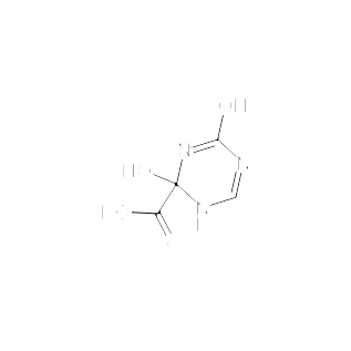 O=C(O)C1(O)N=C(O)N=CN1